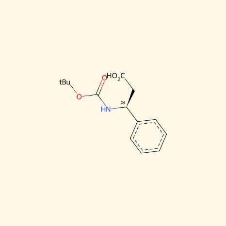 CC(C)(C)OC(=O)N[C@@H](CC(=O)O)c1ccccc1